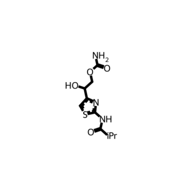 CC(C)C(=O)Nc1nc(C(O)COC(N)=O)cs1